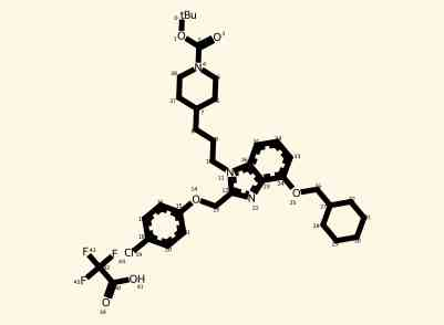 CC(C)(C)OC(=O)N1CCC(CCCn2c(COc3ccc(Cl)cc3)nc3c(OCC4CCCCC4)cccc32)CC1.O=C(O)C(F)(F)F